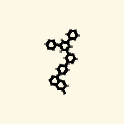 Cc1cc2cccc(-c3ccc(-c4cccc(-c5nc(-c6ccccc6)nc(-c6ccccc6)n5)c4)cc3)c2cn1